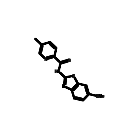 COc1ccc2nc(NC(=O)c3ccc(C)cn3)sc2c1